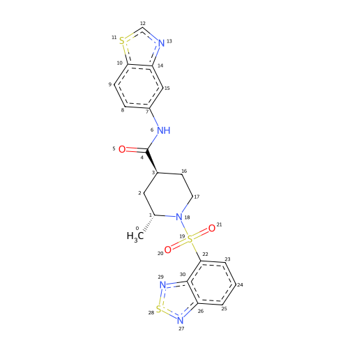 C[C@@H]1C[C@@H](C(=O)Nc2ccc3scnc3c2)CCN1S(=O)(=O)c1cccc2nsnc12